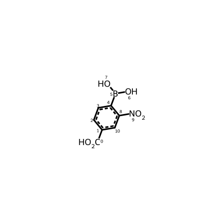 O=C(O)c1ccc(B(O)O)c([N+](=O)[O-])c1